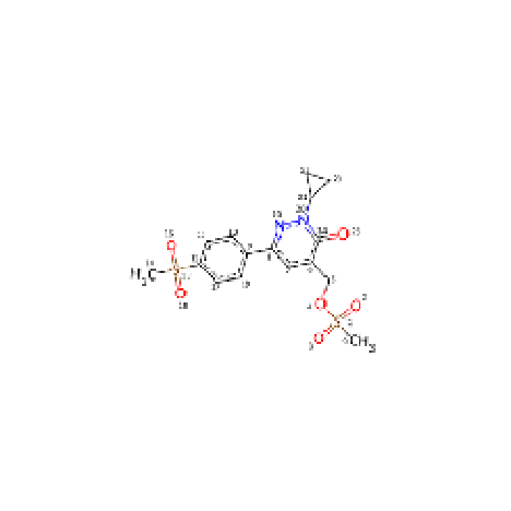 CS(=O)(=O)OCc1cc(-c2ccc(S(C)(=O)=O)cc2)nn(C2CC2)c1=O